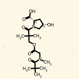 CN(CC(=O)OCC(C)(C)C(=O)N1C[C@@H](O)C[C@H]1C(=O)O)C(=O)C(C)(C)C